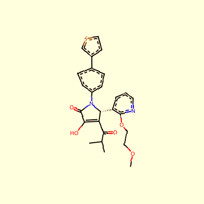 COCCOc1ncccc1[C@@H]1C(C(=O)C(C)C)=C(O)C(=O)N1c1ccc(-c2ccsc2)cc1